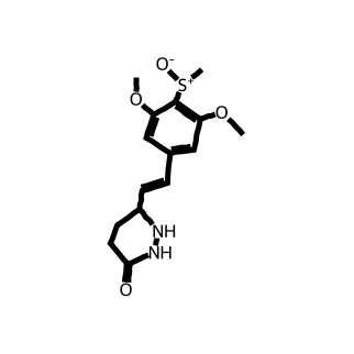 COc1cc(/C=C/C2CCC(=O)NN2)cc(OC)c1[S+](C)[O-]